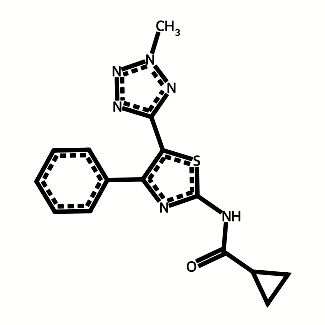 Cn1nnc(-c2sc(NC(=O)C3CC3)nc2-c2ccccc2)n1